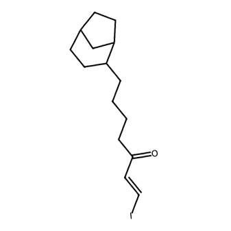 O=C(/C=C/I)CCCCC1CCC2CCC1C2